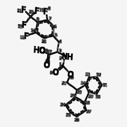 O=C(NC(Cc1cc(F)c(C(F)(F)F)c(F)c1)C(=O)O)OCC1c2ccccc2-c2ccccc21